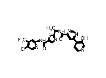 CC(NC(=O)c1cc(-c2ccncc2O)ncn1)c1ncc(C(=O)Nc2cc(C(F)(F)F)c(Cl)cn2)s1